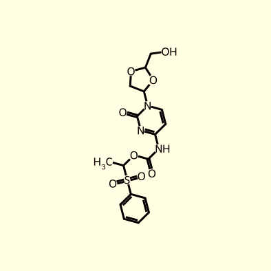 CC(OC(=O)Nc1ccn(C2COC(CO)O2)c(=O)n1)S(=O)(=O)c1ccccc1